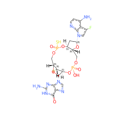 Nc1nc2c(ncn2[C@@H]2O[C@@H]3COP(=O)(S)O[C@H]4C[C@H](n5cc(F)c6c(N)ccnc65)O[C@@H]4COP(=O)(O)O[C@@H]2[C@@H]3F)c(=O)[nH]1